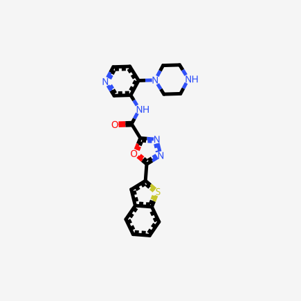 O=C(Nc1cnccc1N1CCNCC1)c1nnc(-c2cc3ccccc3s2)o1